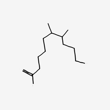 CCCC(=O)CCCCC(C)C(C)CCCC(C)=O